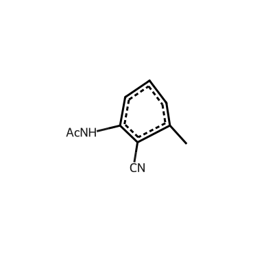 CC(=O)Nc1cccc(C)c1C#N